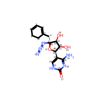 [N-]=[N+]=N[C@]1(CC2=CC=CC[CH]2)O[C@H](c2c[nH]c(=O)nc2N)[C@H](O)[C@@H]1O